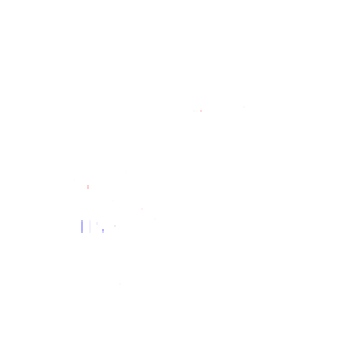 CC(C)(C)C(=O)OCCCCS(=O)(=O)NC1CC1